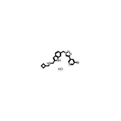 Brc1cncc(-c2cn(Cc3ccc4cc(CNCC5CCC5)[nH]c4c3)nn2)c1.Cl